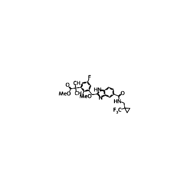 COC(=O)C(C)(C)c1cc(F)cc(Cc2nc3cc(C(=O)NCC4(C(F)(F)F)CC4)ccc3[nH]2)c1OC